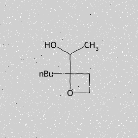 CCCCC1(C(C)O)CCO1